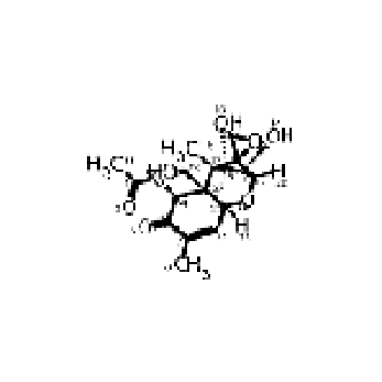 CC(=O)O[C@@H]1C(=O)C(C)=C[C@H]2O[C@@H]3[C@H](O)[C@@H](O)[C@@](C)(C34CO4)[C@@]12CO